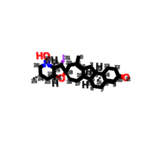 CC1=C2C[C@H]3[C@@H](CCC4=CC(=O)CC[C@@]43C)[C@@H]2CC[C@@]2(C1)O[C@@H]1C[C@H](C)CN(O)[C@H]1[C@H]2I